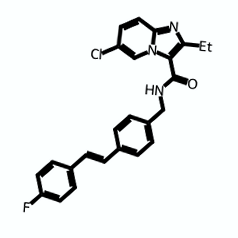 CCc1nc2ccc(Cl)cn2c1C(=O)NCc1ccc(C=Cc2ccc(F)cc2)cc1